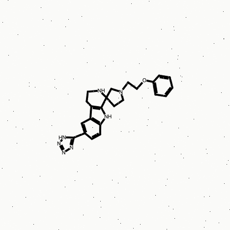 c1ccc(OCCN2CCC3(C2)NCCc2c3[nH]c3ccc(-c4nnn[nH]4)cc23)cc1